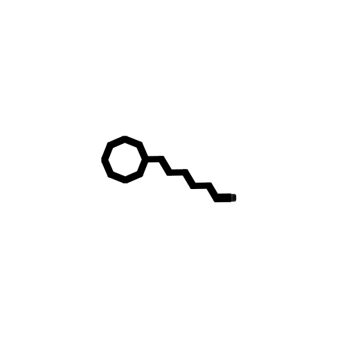 O=[C]CCCCCC1CCCCCCC1